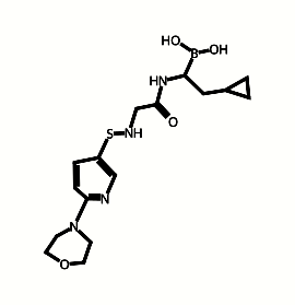 O=C(CNSc1ccc(N2CCOCC2)nc1)NC(CC1CC1)B(O)O